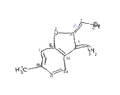 C=c1/c(=C\C(C)C)oc2cc(C)ccc12